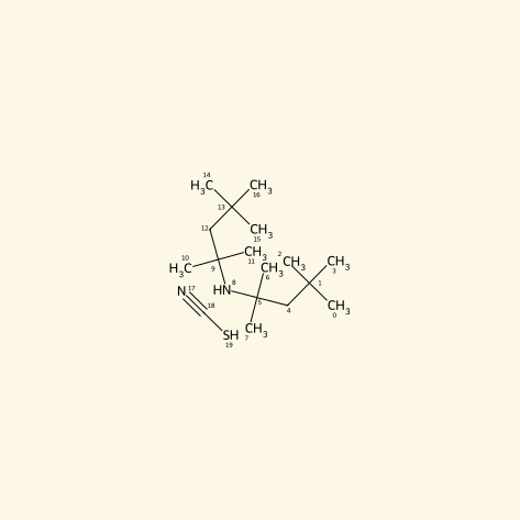 CC(C)(C)CC(C)(C)NC(C)(C)CC(C)(C)C.N#CS